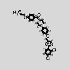 C=CCOc1ccc(C(=O)N2CCN(c3ccc(OCC4COC(c5ccc(Cl)cc5Cl)O4)cc3)CC2)cc1